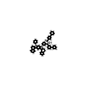 c1ccc(-c2ccc(C3=Nc4ccc(-n5c6c(c7cc8c9c%10ccccc%10ccc9n(-c9ccccc9)c8cc75)-c5ccccc5CC6)cc4C(c4cccc(-c5ccccc5)c4)N3)cc2)cc1